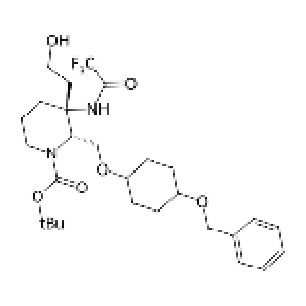 CC(C)(C)OC(=O)N1CCC[C@](CCO)(NC(=O)C(F)(F)F)[C@@H]1COC1CCC(OCc2ccccc2)CC1